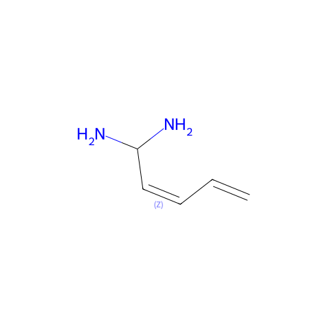 C=C/C=C\C(N)N